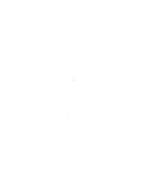 O=C(O)[Si](F)(F)F